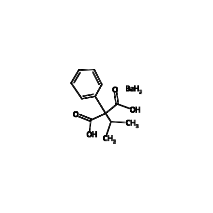 CC(C)C(C(=O)O)(C(=O)O)c1ccccc1.[BaH2]